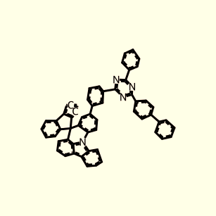 c1ccc(-c2ccc(-c3nc(-c4ccccc4)nc(-c4cccc(-c5ccc6c(c5)C5(c7ccccc7-c7ccccc75)c5cccc7c8ccccc8n-6c57)c4)n3)cc2)cc1